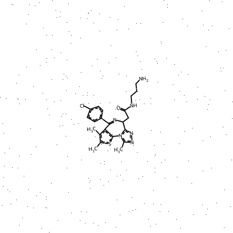 Cc1sc2c(c1C)C(c1ccc(Cl)cc1)=NC(CC(=O)NCCCN)c1nnc(C)n1-2